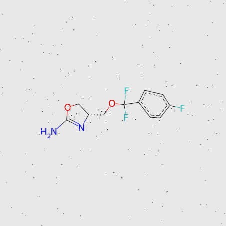 NC1=N[C@@H](COC(F)(F)c2ccc(F)cc2)CO1